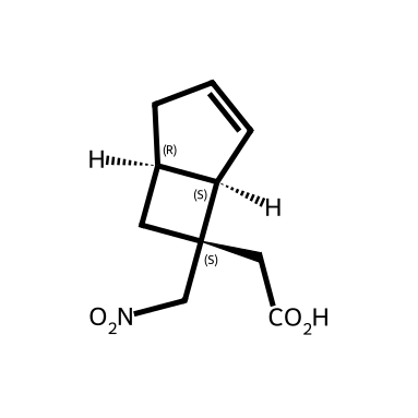 O=C(O)C[C@@]1(C[N+](=O)[O-])C[C@H]2CC=C[C@H]21